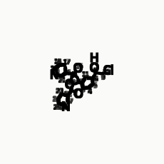 O=C(Oc1ccc(C(O)CCl)cc1OC(=O)c1cccnc1)c1cccnc1